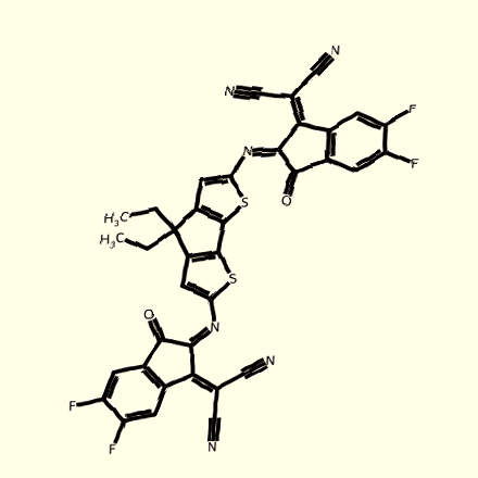 CCC1(CC)c2cc(/N=C3\C(=O)c4cc(F)c(F)cc4C3=C(C#N)C#N)sc2-c2sc(/N=C3\C(=O)c4cc(F)c(F)cc4C3=C(C#N)C#N)cc21